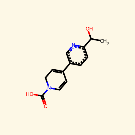 CC(O)c1ccc(C2=CCN(C(=O)O)C=C2)cn1